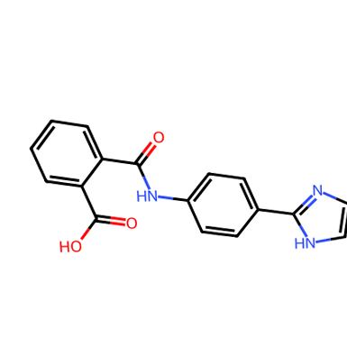 O=C(O)c1ccccc1C(=O)Nc1ccc(-c2ncc[nH]2)cc1